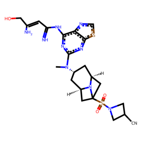 CN(c1nc(NC(=N)/C=C(\N)CO)c2ncsc2n1)[C@H]1C[C@@H]2CC3(S(=O)(=O)N4CC(C#N)C4)C[C@H](C1)N23